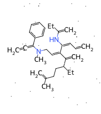 C=C=C(c1ccccc1)N(C)C/C=C(C(=C)C(CC)CCC(=C)C)\C(=C/C=C)NC(=C)CC